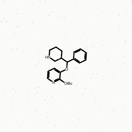 CC(C)COc1ncccc1OC(c1ccccc1)C1CCCNC1